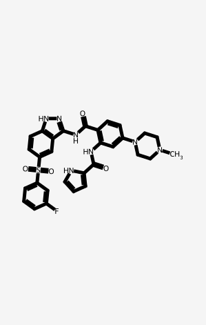 CN1CCN(c2ccc(C(=O)Nc3n[nH]c4ccc(S(=O)(=O)c5cccc(F)c5)cc34)c(NC(=O)c3ccc[nH]3)c2)CC1